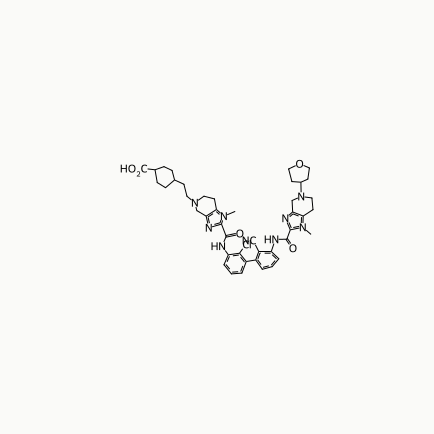 Cn1c(C(=O)Nc2cccc(-c3cccc(NC(=O)c4nc5c(n4C)CCN(C4CCOCC4)C5)c3C#N)c2Cl)nc2c1CCN(CCC1CCC(C(=O)O)CC1)C2